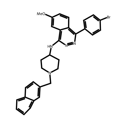 COc1ccc2c(-c3ccc(Br)cc3)nnc(NC3CCN(Cc4ccc5ccccc5c4)CC3)c2c1